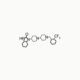 O=c1[nH]c2ccccc2n1C1CCN(C2CCN(Cc3ccccc3C(F)(F)F)CC2)CC1